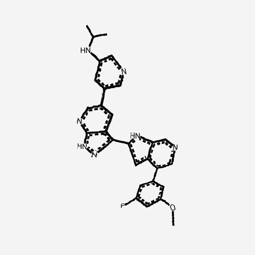 COc1cc(F)cc(-c2cncc3[nH]c(-c4n[nH]c5ncc(-c6cncc(NC(C)C)c6)cc45)cc23)c1